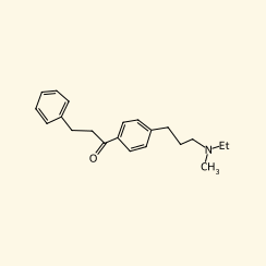 CCN(C)CCCc1ccc(C(=O)CCc2ccccc2)cc1